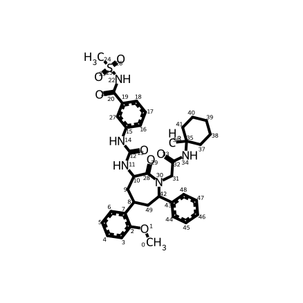 COc1ccccc1C1CC(NC(=O)Nc2cccc(C(=O)NS(C)(=O)=O)c2)C(=O)N(CC(=O)NC2(C)CCCCC2)C(c2ccccc2)C1